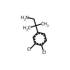 CC(C)(CN)c1ccc(Cl)c(Cl)c1